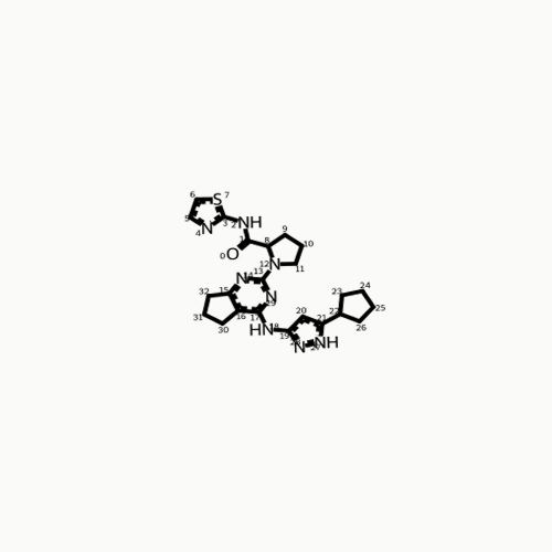 O=C(Nc1nccs1)C1CCCN1c1nc2c(c(Nc3cc(C4CCCC4)[nH]n3)n1)CCC2